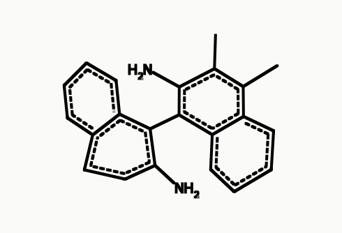 Cc1c(N)c(-c2c(N)ccc3ccccc23)c2ccccc2c1C